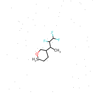 CC(C1CC[SiH2]OC1)C(F)C(F)F